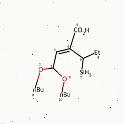 CCCCOC(C=C(C(=O)O)C([SiH3])CC)OCCCC